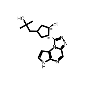 CC[C@@H]1CC(CC(C)(C)O)C[C@H]1c1nnc2cnc3[nH]ccc3n12